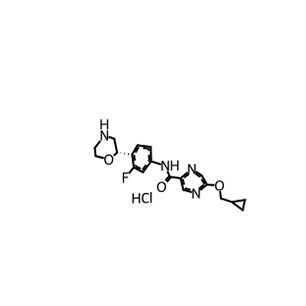 Cl.O=C(Nc1ccc([C@H]2CNCCO2)c(F)c1)c1cnc(OCC2CC2)cn1